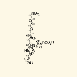 CCOC(C)SCC(=O)NC(CCCC(=O)NCCOCCOCCNC)C(=O)NCC(=O)NCC(=O)O